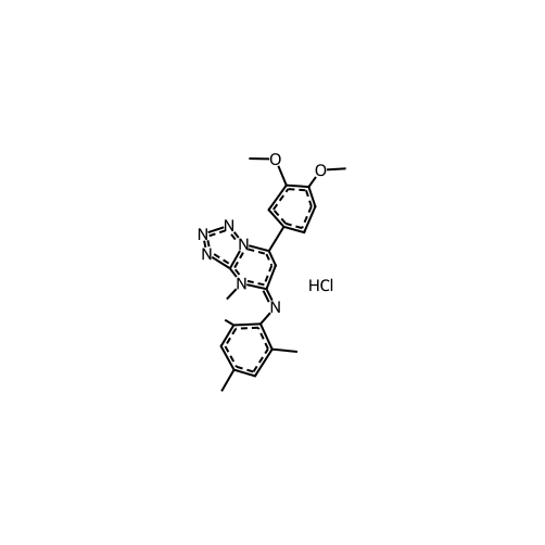 COc1ccc(-c2c/c(=N/c3c(C)cc(C)cc3C)n(C)c3nnnn23)cc1OC.Cl